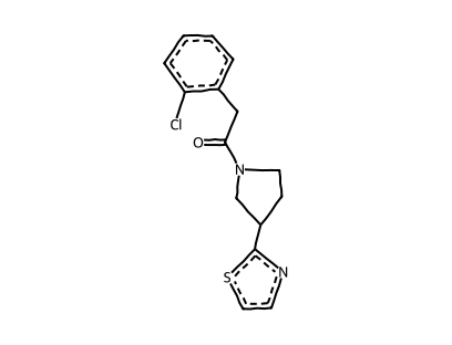 O=C(Cc1ccccc1Cl)N1CCC(c2nccs2)C1